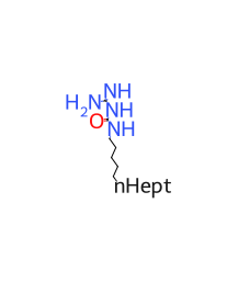 CCCCCCCCCCCCNC(=O)NC(=N)N